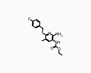 CCOC(=O)Nc1cc(C)c(SCc2ccc(F)cc2)nc1N